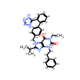 CCn1c(=O)c2c(nc(C(C)C)n2Cc2ccc(-c3ccccc3-c3nnn[nH]3)cc2)n(CCc2ccccc2)c1=O